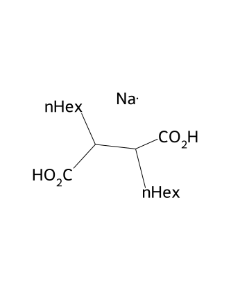 CCCCCCC(C(=O)O)C(CCCCCC)C(=O)O.[Na]